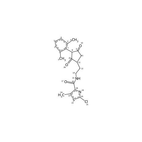 Cc1cccc(C)c1C1C(=O)CC(CCNC(=O)c2nc(Cl)sc2C)C1=O